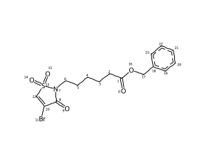 O=C(CCCCCN1C(=O)C(Br)=CS1(=O)=O)OCc1ccccc1